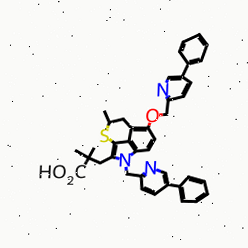 CC1Cc2c(OCc3ccc(-c4ccccc4)cn3)ccc3c2c(c(CC(C)(C)C(=O)O)n3Cc2ccc(-c3ccccc3)cn2)S1